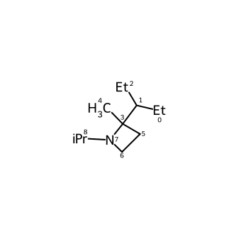 CCC(CC)C1(C)CCN1C(C)C